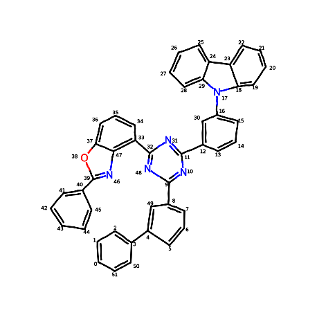 c1ccc(-c2cccc(-c3nc(-c4cccc(-n5c6ccccc6c6ccccc65)c4)nc(-c4cccc5oc(-c6ccccc6)nc45)n3)c2)cc1